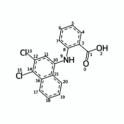 O=C(O)c1ccccc1Nc1cc(Cl)c(Cl)c2ccccc12